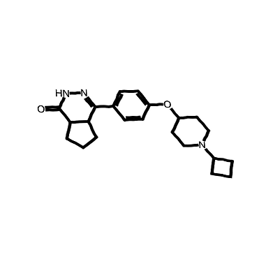 O=C1NN=C(c2ccc(OC3CCN(C4CCC4)CC3)cc2)C2CCCC12